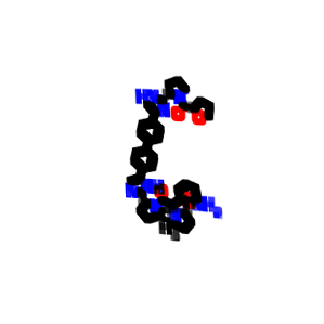 C[N+]1([C@@H](C(=O)N2CCC[C@H]2c2ncc(-c3ccc(-c4ccc(-c5c[nH]c([C@@H]6CCCN6C(=O)[C@H]6CCCO6)n5)cc4)cc3)[nH]2)c2ccccc2)CCC[C@H]1C(N)=O